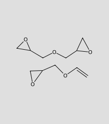 C(OCC1CO1)C1CO1.C=COCC1CO1